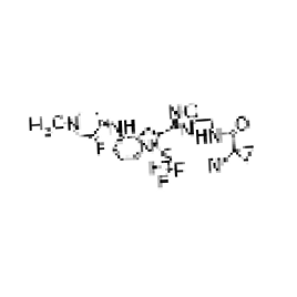 CN1CC[C@@H](Nc2cccn3c(SC(F)(F)F)c(-c4noc(CNC(=O)C5(C#N)CC5)n4)cc23)[C@@H](F)C1